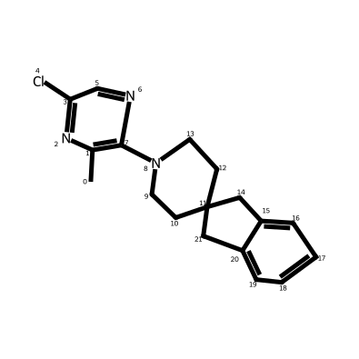 Cc1nc(Cl)cnc1N1CCC2(CC1)Cc1ccccc1C2